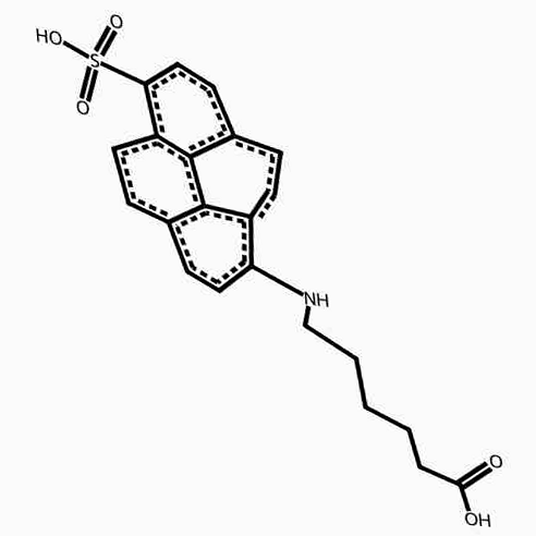 O=C(O)CCCCCNc1ccc2ccc3c(S(=O)(=O)O)ccc4ccc1c2c43